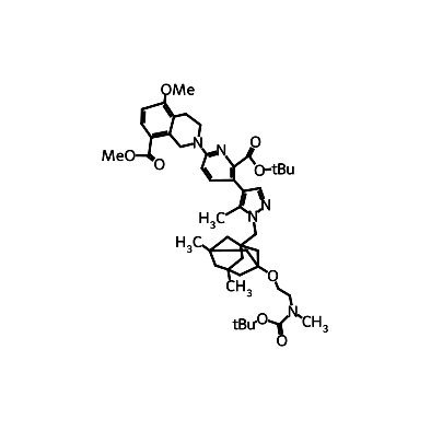 COC(=O)c1ccc(OC)c2c1CN(c1ccc(-c3cnn(CC45CC6(C)CC(C)(C4)CC(OCCN(C)C(=O)OC(C)(C)C)(C6)C5)c3C)c(C(=O)OC(C)(C)C)n1)CC2